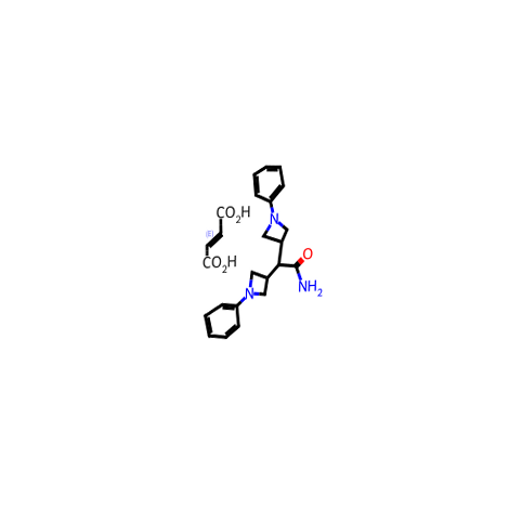 NC(=O)C(C1CN(c2ccccc2)C1)C1CN(c2ccccc2)C1.O=C(O)/C=C/C(=O)O